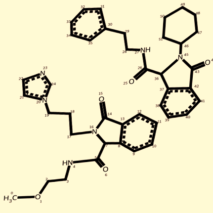 COCCNC(=O)C1c2ccccc2C(=O)N1CCCn1ccnc1.O=C(NCCc1ccccc1)C1c2ccccc2C(=O)N1C1CCCCC1